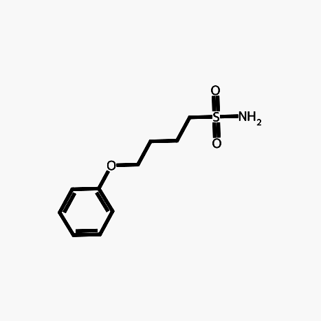 NS(=O)(=O)CCCCOc1ccccc1